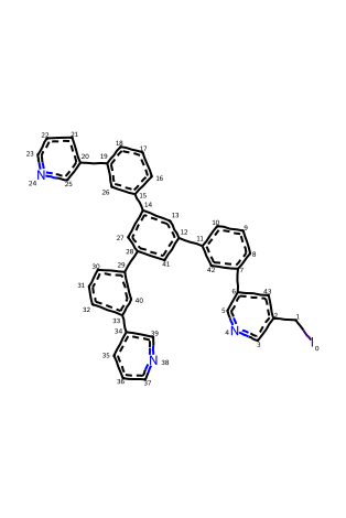 ICc1cncc(-c2cccc(-c3cc(-c4cccc(-c5cccnc5)c4)cc(-c4cccc(-c5cccnc5)c4)c3)c2)c1